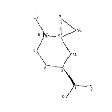 CC(C)[C@H]1CCN(C)C2(CC2)C1